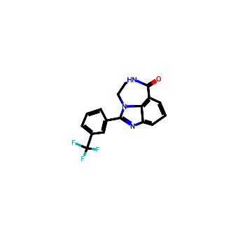 O=C1NCCn2c(-c3cccc(C(F)(F)F)c3)nc3cccc1c32